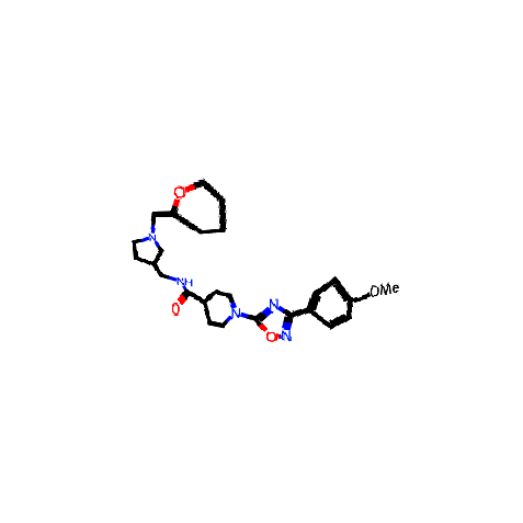 COc1ccc(-c2noc(N3CCC(C(=O)NCC4CCN(CC5CCCCO5)C4)CC3)n2)cc1